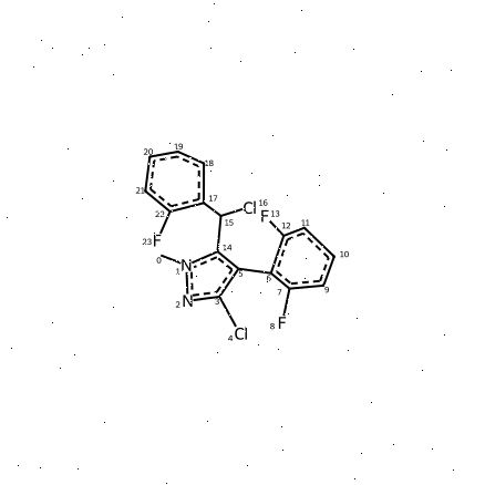 Cn1nc(Cl)c(-c2c(F)cccc2F)c1C(Cl)c1ccccc1F